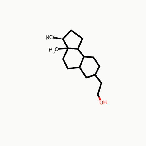 CC12CCC3CC(CCO)CCC3C1CC[C@@H]2C#N